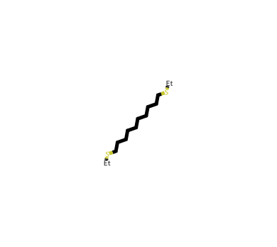 [CH2]CSCCCCCCCCCCSCC